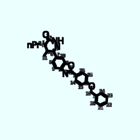 CCC[C@@H]1C(=O)NN=C(c2ccc3nc(-c4ccc(OCc5ccccc5)cc4)oc3c2)C1C